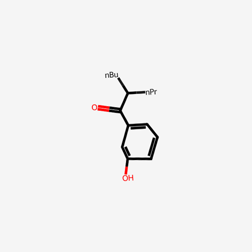 CCCCC(CCC)C(=O)c1cccc(O)c1